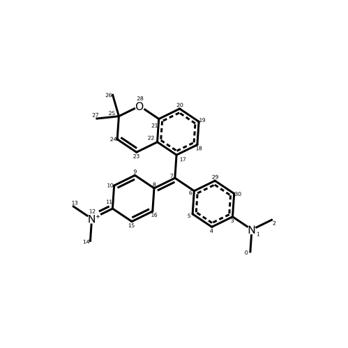 CN(C)c1ccc(C(=C2C=CC(=[N+](C)C)C=C2)c2cccc3c2C=CC(C)(C)O3)cc1